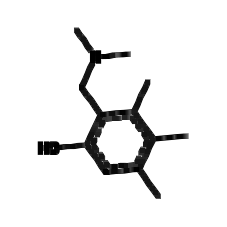 Cc1cc(O)c(CN(C)C)c(C)c1C